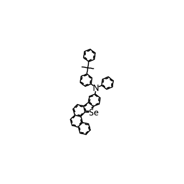 CC(C)(c1ccccc1)c1cccc(N(c2ccccc2)c2ccc3[se]c4c(ccc5ccc6ccccc6c54)c3c2)c1